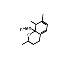 CCCCCCC12OC(C)CCC1=CC=C(C)C2C